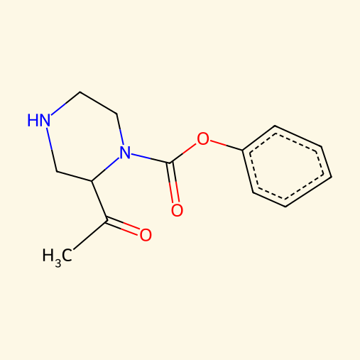 CC(=O)C1CNCCN1C(=O)Oc1ccccc1